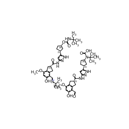 COc1cc(O)c(/C=N/C(C)C)c2c1C[C@@H](C(=O)Nc1cc([C@H]3CC[C@@H](OC(=O)NC(C)(C)C)C3)[nH]n1)C2.COc1cc(O)c(C=O)c2c1C[C@@H](C(=O)Nc1cc([C@H]3CC[C@@H](N(C(=O)O)C(C)(C)C)C3)[nH]n1)C2